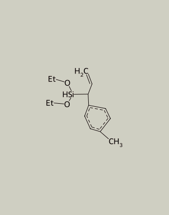 C=CC(c1ccc(C)cc1)[SiH](OCC)OCC